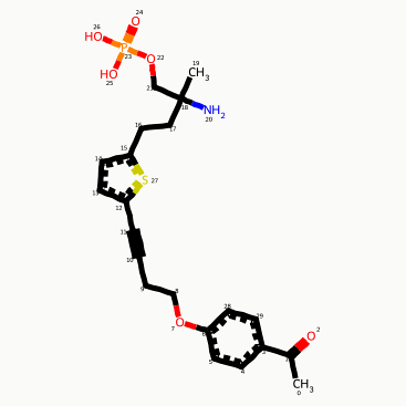 CC(=O)c1ccc(OCCC#Cc2ccc(CCC(C)(N)COP(=O)(O)O)s2)cc1